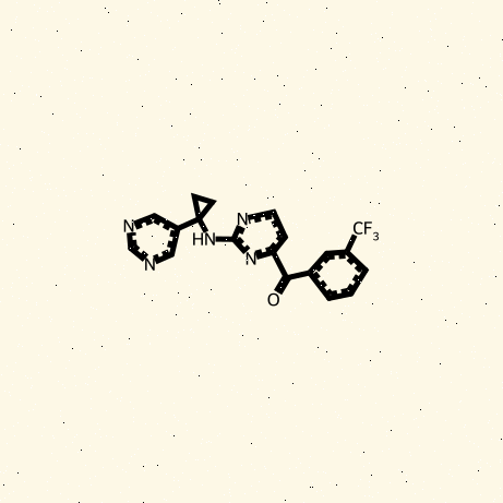 O=C(c1cccc(C(F)(F)F)c1)c1ccnc(NC2(c3cncnc3)CC2)n1